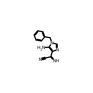 N#CC(=N)c1ncn(Cc2ccccc2)c1N